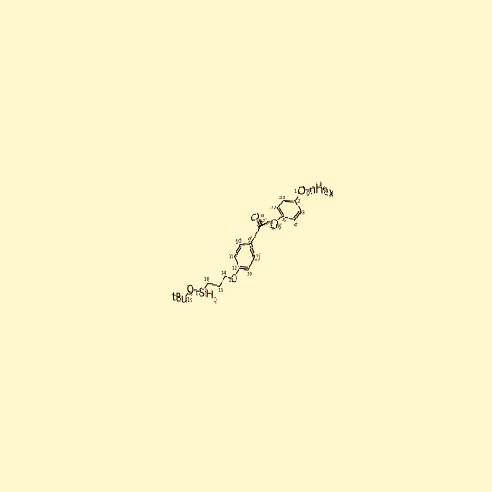 CCCCCCOc1ccc(OC(=O)c2ccc(OCCC[SiH2]OC(C)(C)C)cc2)cc1